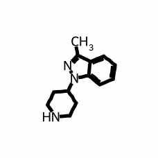 Cc1nn(C2CCNCC2)c2ccccc12